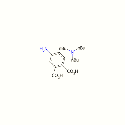 CCCCN(CCCC)CCCC.Nc1ccc(C(=O)O)c(C(=O)O)c1